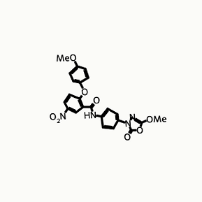 COc1ccc(Oc2ccc([N+](=O)[O-])cc2C(=O)Nc2ccc(-n3nc(OC)oc3=O)cc2)cc1